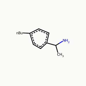 CCCCc1ccc(C(C)N)cc1